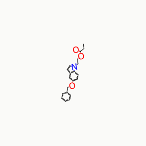 CCC(=O)OCCn1ccc2cc(OCc3ccccc3)ccc21